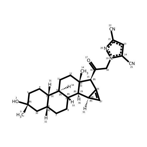 C[C@@]1(O)CC[C@H]2[C@H](CC[C@@H]3[C@@H]2CC[C@]2(C)[C@@H](C(=O)Cn4nc(C#N)cc4C#N)C4=C[C@H]4[C@@H]32)C1